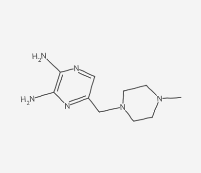 CN1CCN(Cc2cnc(N)c(N)n2)CC1